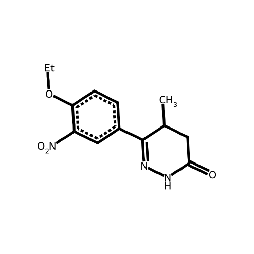 CCOc1ccc(C2=NNC(=O)CC2C)cc1[N+](=O)[O-]